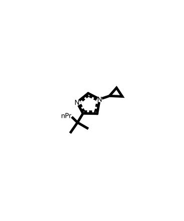 CCCC(C)(C)c1cn(C2CC2)cn1